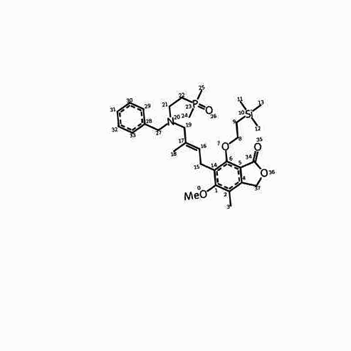 COc1c(C)c2c(c(OCC[Si](C)(C)C)c1C/C=C(\C)CN(CCP(C)(C)=O)Cc1ccccc1)C(=O)OC2